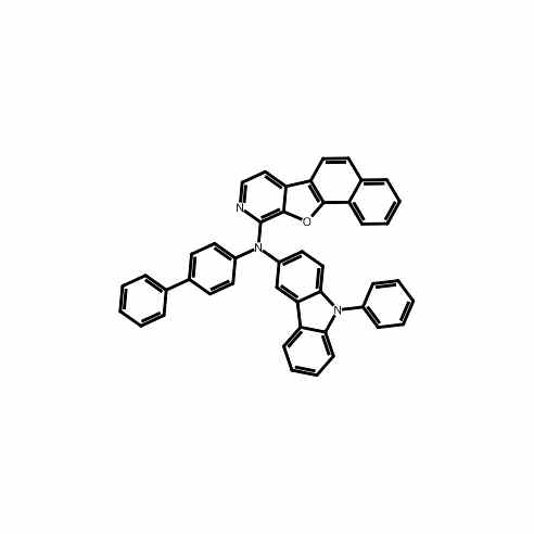 c1ccc(-c2ccc(N(c3ccc4c(c3)c3ccccc3n4-c3ccccc3)c3nccc4c3oc3c5ccccc5ccc43)cc2)cc1